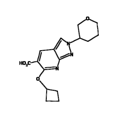 O=C(O)c1cc2cn(C3CCCOC3)nc2nc1OC1CCC1